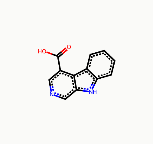 O=C(O)c1cncc2[nH]c3ccccc3c12